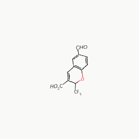 O=Cc1ccc2c(c1)C=C(C(=O)O)C(C(F)(F)F)O2